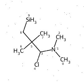 CN(C)C(Cl)C(C)(C)C[SiH3]